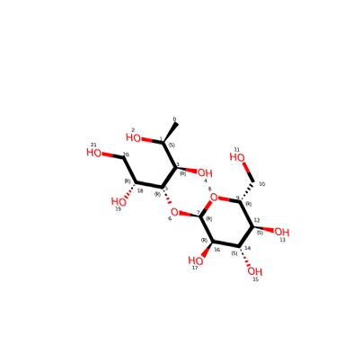 C[C@H](O)[C@@H](O)[C@H](O[C@H]1O[C@H](CO)[C@@H](O)[C@H](O)[C@H]1O)[C@H](O)CO